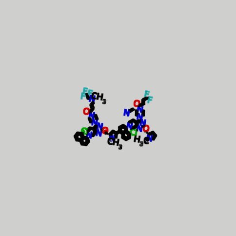 CN(C/C=C/C(=O)N1CCN(c2nc(OC[C@@H]3CC(c4ccc(N5CCc6c(nc(OC[C@@H]7CCCN7C)nc6N6CCN(C(=O)/C=C/C(F)F)[C@@H](CC#N)C6)C5)c5c(Cl)cccc45)CN3C)nc3c2CCN(c2cccc4cccc(Cl)c24)C3)CC1)CC(F)(F)F